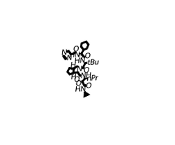 CCC[C@H](NC(=O)C1[C@H]2CCC[C@@H]2CN1C(=O)C(NC(=O)[C@@H](NC(=O)c1cnccn1)C1CCCCC1)C(C)(C)C)C(=O)C(=O)NC1CC1